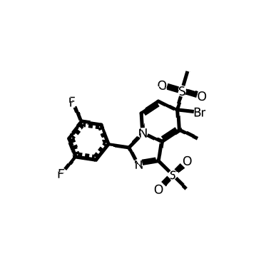 CC1=C2C(S(C)(=O)=O)=NC(c3cc(F)cc(F)c3)N2C=CC1(Br)S(C)(=O)=O